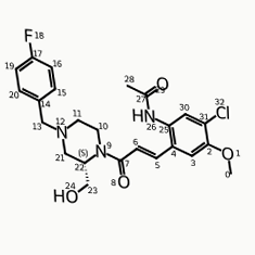 COc1cc(C=CC(=O)N2CCN(Cc3ccc(F)cc3)C[C@H]2CO)c(NC(C)=O)cc1Cl